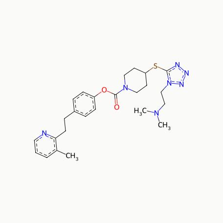 Cc1cccnc1CCc1ccc(OC(=O)N2CCC(Sc3nnnn3CCN(C)C)CC2)cc1